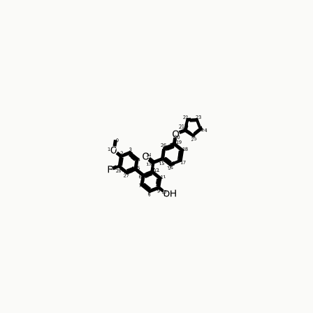 COc1ccc(-c2ccc(O)cc2C(=O)c2cccc(OC3CCCC3)c2)cc1F